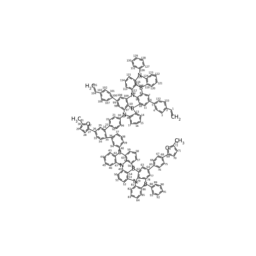 C=Cc1ccc(-c2cc3c4c(c2)B2c5ccccc5N(c5ccc(-c6cc(-c7ccc(C)o7)ccc6-c6cccc(B7c8ccccc8N8c9cccc%10c9B(c9cccc7c98)c7cc(-c8ccc(-c9ccc(C)o9)cc8)cc8c7N%10c7ccccc7B8c7ccccc7)c6)cc5)c5cc(-c6ccc(C=C)cc6)cc(c52)N4c2cccc4c2B3c2ccccc2N4c2ccccc2)cc1